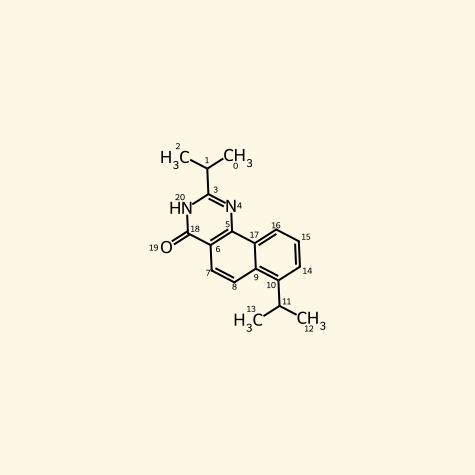 CC(C)c1nc2c(ccc3c(C(C)C)cccc32)c(=O)[nH]1